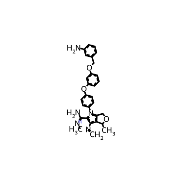 C=Nc1c2c(n(-c3ccc(Oc4cccc(OCc5cccc(N)c5)c4)cc3)c1/C(N)=N\C)COC2C